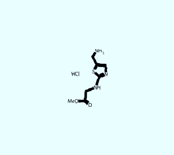 COC(=O)CNc1ncc(CN)s1.Cl